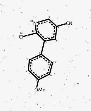 COc1ccc(-c2cc(C#N)cnc2Cl)cc1